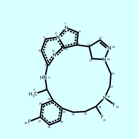 CC1Nc2ccn3ncc(c3n2)C2C=NN(CCN(F)C(F)CCc3ccc(F)cc31)C2